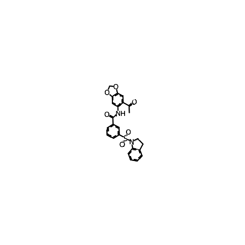 CC(=O)c1cc2c(cc1NC(=O)c1cccc(S(=O)(=O)N3CCc4ccccc43)c1)OCO2